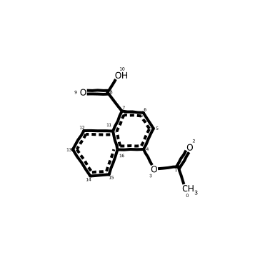 CC(=O)Oc1ccc(C(=O)O)c2ccccc12